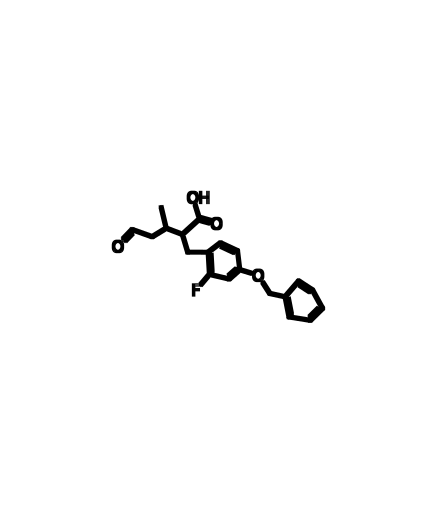 CC(CC=O)C(Cc1ccc(OCc2ccccc2)cc1F)C(=O)O